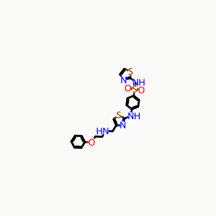 O=S(=O)(Nc1nccs1)c1ccc(Nc2nc(CNCCOc3ccccc3)cs2)cc1